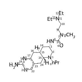 CCCN1C[C@@H](NC(=O)N(C)CCN(CC)CC)C[C@@H]2Cc3nc(N)ncc3C[C@H]21